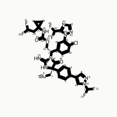 CC(C)(C)C[C@]1(c2ccc(-c3cnn(C(F)F)c3)cc2)NC(=N)N([C@H](COC(=O)NC2(CC(F)F)CC2)c2ccc(Cl)c(-n3ncnc3C(F)F)c2)C1=O